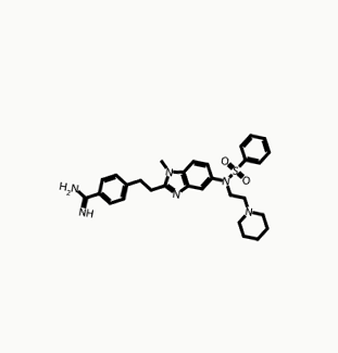 Cn1c(CCc2ccc(C(=N)N)cc2)nc2cc(N(CCN3CCCCC3)S(=O)(=O)c3ccccc3)ccc21